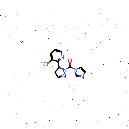 O=C(N1N=CCC1c1ncccc1Cl)n1ccnc1